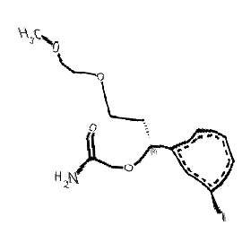 COCOCC[C@@H](OC(N)=O)c1cccc(I)c1